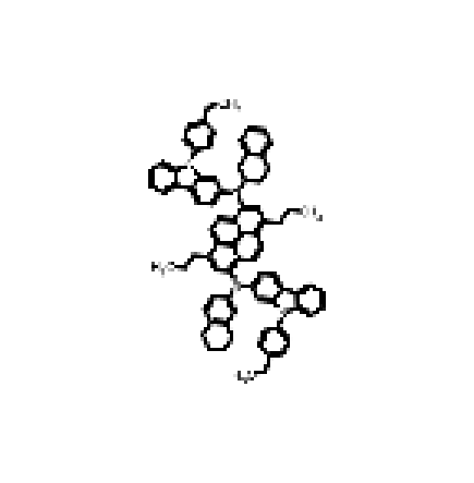 CCCc1cc(N(c2ccc3c(c2)CCCC3)c2ccc3c4ccccc4n(-c4ccc(CC)cc4)c3c2)c2ccc3c(CCC)cc(N(c4ccc5c6ccccc6n(-c6ccc(CC)cc6)c5c4)C4CCc5ccccc5C4)c4ccc1c2c34